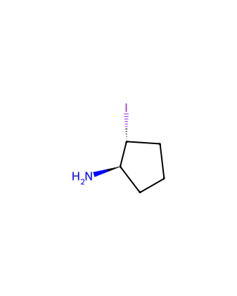 N[C@@H]1CCC[C@H]1I